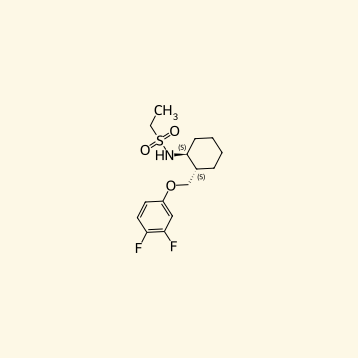 CCS(=O)(=O)N[C@H]1CCCC[C@@H]1COc1ccc(F)c(F)c1